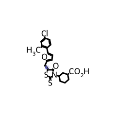 Cc1cc(Cl)ccc1-c1ccc(/C=C2/SC(=S)N(C3CCCC(C(=O)O)C3)C2=O)o1